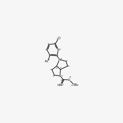 CC(=O)c1ccc(Cl)nc1N1CCC2C1CCN2C(=N)OC(C)(C)C